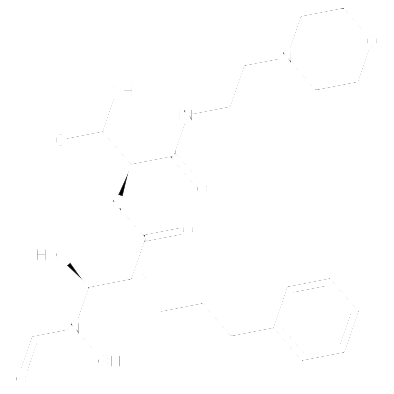 CC(C)[C@H](NC(=O)[C@H](CCCc1ccccc1)[C@H](C)N(O)C=O)C(=O)NCCN1CCOCC1